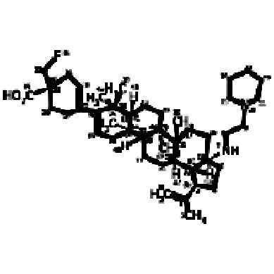 C=C(C)[C@@H]1CC[C@]2(NCCN3CCCCC3)CC[C@]3(C)[C@H](CC[C@@H]4[C@@]5(C)CC=C(C6=CC[C@](CF)(C(=O)O)CC6)C(C)(C)[C@@H]5CC[C@]43C)[C@@H]12